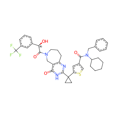 O=C([C@H](O)c1cccc(C(F)(F)F)c1)N1CCCc2nc(C3(c4cc(C(=O)N(Cc5ccccc5)C5CCCCC5)cs4)CC3)[nH]c(=O)c2C1